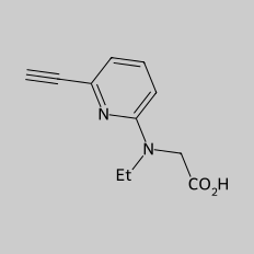 C#Cc1cccc(N(CC)CC(=O)O)n1